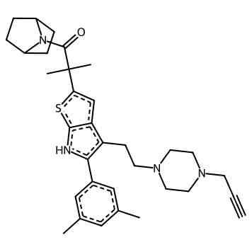 C#CCN1CCN(CCc2c(-c3cc(C)cc(C)c3)[nH]c3sc(C(C)(C)C(=O)N4C5CCC4CC5)cc23)CC1